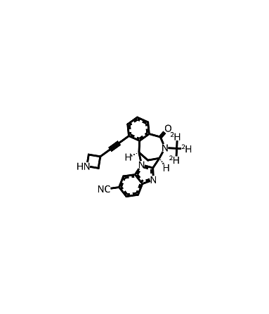 [2H]C([2H])([2H])N1C(=O)c2cccc(C#CC3CNC3)c2[C@H]2C[C@@H]1c1nc3ccc(C#N)cc3n12